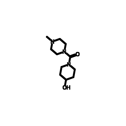 CN1CCN(C(=O)N2CCC(O)CC2)CC1